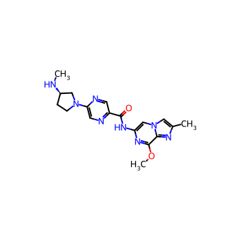 CN[C@@H]1CCN(c2cnc(C(=O)Nc3cn4cc(C)nc4c(OC)n3)cn2)C1